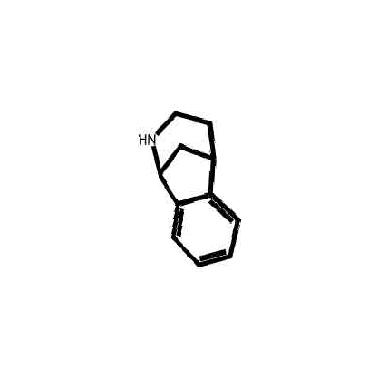 c1ccc2c(c1)C1CCNC2C1